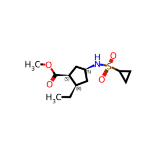 CC[C@@H]1C[C@H](NS(=O)(=O)C2CC2)C[C@@H]1C(=O)OC